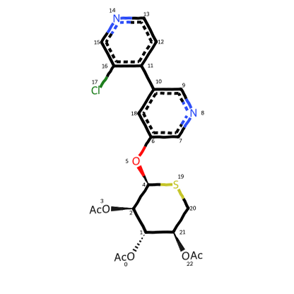 CC(=O)O[C@@H]1[C@@H](OC(C)=O)[C@@H](Oc2cncc(-c3ccncc3Cl)c2)SC[C@H]1OC(C)=O